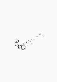 C[N+](C)(C)CCCCCC(=O)Oc1cc2c(ccc3sc4ccc5sccc5c4c32)s1